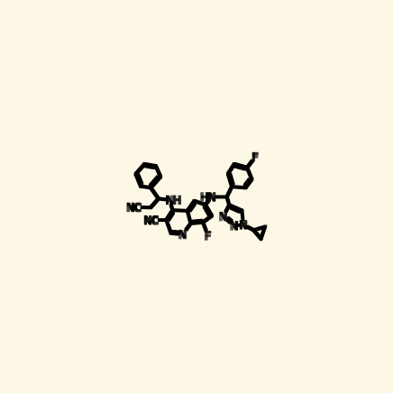 N#CCC(Nc1c(C#N)cnc2c(F)cc(NC(c3ccc(F)cc3)c3cn(C4CC4)nn3)cc12)c1ccccc1